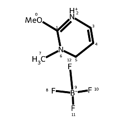 COC1=[NH+]C=CCN1C.F[B-](F)(F)F